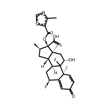 Cc1ncsc1C(=O)O[C@]1(C(O)=S)[C@H](C)C[C@H]2[C@@H]3C[C@H](F)C4=CC(=O)C=C[C@]4(C)C3(F)[C@@H](O)C[C@@]21C